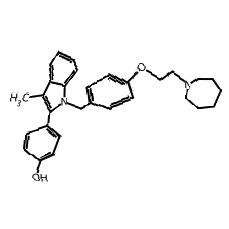 Cc1c(-c2ccc(O)cc2)n(Cc2ccc(OCCN3CCCCCC3)cc2)c2ccccc12